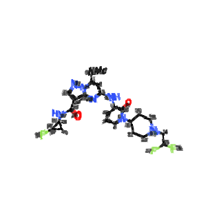 CNc1cc(Nc2cccn(C3CCN(CC(F)F)CC3)c2=O)nc2c(C(=O)N[C@H]3C[C@H]3F)cnn12